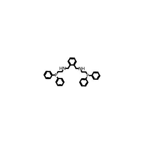 c1ccc(P(CCNCc2ccccc2CNCCP(c2ccccc2)c2ccccc2)c2ccccc2)cc1